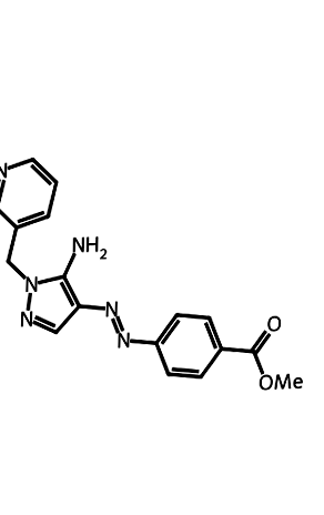 COC(=O)c1ccc(N=Nc2cnn(Cc3cccnc3)c2N)cc1